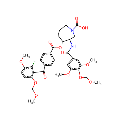 COCOc1ccc(OC)c(F)c1C(=O)c1ccc(C(=O)O[C@@H]2CCCN(C(=O)O)C[C@H]2NC(=O)c2cc(OC)c(OCOC)c(OC)c2)cc1